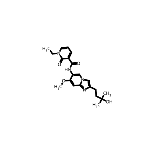 CCn1cccc(C(=O)Nc2cn3cc(CCC(C)(C)O)nc3cc2OC)c1=O